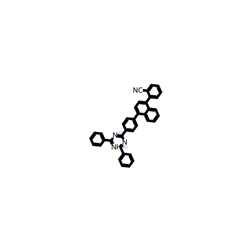 N#Cc1ccccc1-c1ccc(-c2ccc(C(=N/C(=N)c3ccccc3)/N=C/c3ccccc3)cc2)c2ccccc12